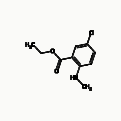 CCOC(=O)c1cc(Cl)ccc1NC